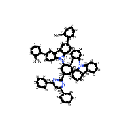 N#Cc1ccccc1-c1ccc2c(c1)c1cc(-c3ccccc3C#N)ccc1n2-c1cc(-c2nc(-c3ccccc3)cc(-c3ccccc3)n2)ccc1-c1ccccc1-n1c2ccccc2c2ccccc21